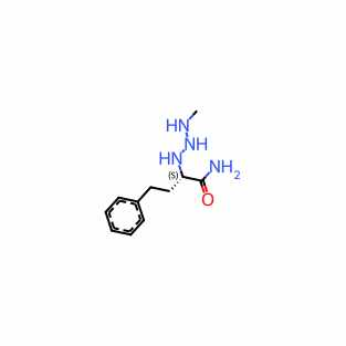 CNNN[C@@H](CCc1ccccc1)C(N)=O